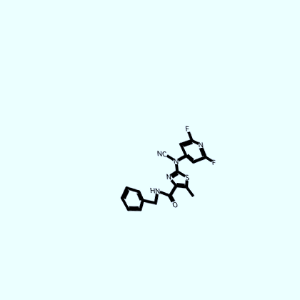 Cc1sc(N(C#N)c2cc(F)nc(F)c2)nc1C(=O)NCc1ccccc1